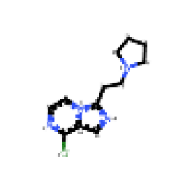 Clc1nccn2c(CCN3CCCC3)ncc12